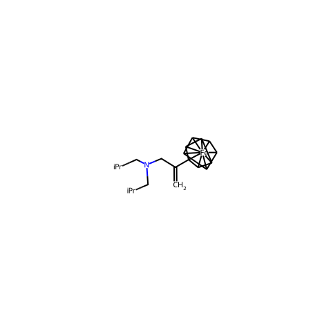 C=C(CN(CC(C)C)CC(C)C)[C]12[CH]3[CH]4[CH]5[CH]1[Fe]45321678[CH]2[CH]1[CH]6[CH]7[CH]28